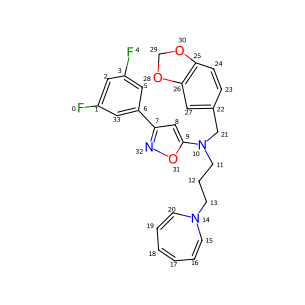 Fc1cc(F)cc(-c2cc(N(CCCN3C=CC=CC=C3)Cc3ccc4c(c3)OCO4)on2)c1